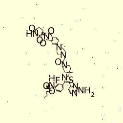 CCCS(=O)(=O)Nc1cccc(-c2nc(C3(C)CCN(C(=O)CN4CCN(c5ccc6c(c5)C(=O)N([C@@H]5CCC(=O)NC5=O)C6=O)CC4)CC3)sc2-c2ccnc(N)n2)c1F